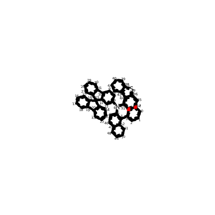 c1ccc(-c2c(N(c3ccc4c(c3)C3(c5ccccc5-c5ccccc53)c3ccccc3-4)c3cccc4sc5ccccc5c34)ccc3ccccc23)cc1